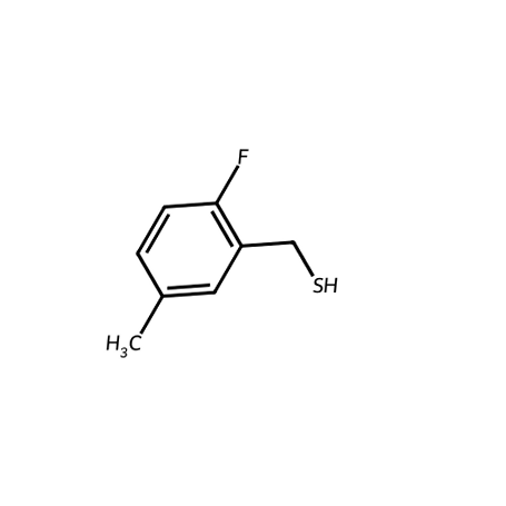 Cc1ccc(F)c(CS)c1